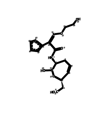 O=C(O)C[C@H]1C=CC[C@H](NC(=O)/C(=N\OCCO)c2cccs2)B(O)O1